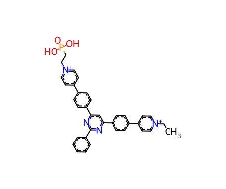 CC[n+]1ccc(-c2ccc(-c3cc(-c4ccc(-c5cc[n+](CCP(=O)(O)O)cc5)cc4)nc(-c4ccccc4)n3)cc2)cc1